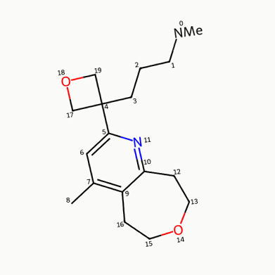 CNCCCC1(c2cc(C)c3c(n2)CCOCC3)COC1